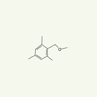 [CH2]OCc1c(C)cc(C)cc1C